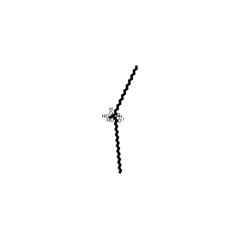 CCCCCCCCCCCCCCCCCCCC(=O)C(O)(P)C(O)(CO)C(=O)CCCCCCCCCCCCCCCCCCC